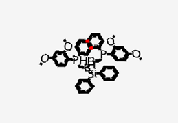 COc1ccc(P(CBB(CP(c2ccccc2)c2ccc(OC)cc2OC)[SiH](c2ccccc2)c2ccccc2)c2ccccc2)c(OC)c1